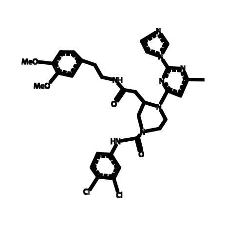 COc1ccc(CCNC(=O)CC2CN(C(=O)Nc3ccc(Cl)c(Cl)c3)CCN2c2cc(C)nc(-n3ccnc3)n2)cc1OC